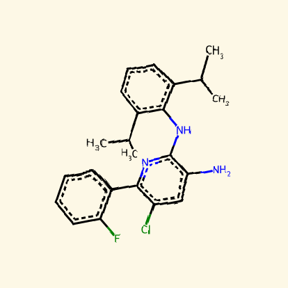 CC(C)c1cccc(C(C)C)c1Nc1nc(-c2ccccc2F)c(Cl)cc1N